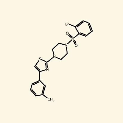 Cc1cccc(-c2csc(N3CCN(S(=O)(=O)c4ccccc4Br)CC3)n2)c1